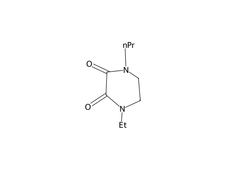 [CH2]CCN1CCN(CC)C(=O)C1=O